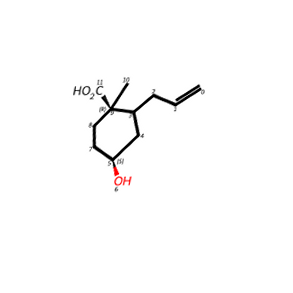 C=CCC1C[C@@H](O)CC[C@@]1(C)C(=O)O